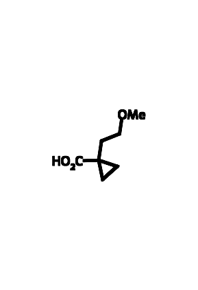 COCCC1(C(=O)O)CC1